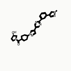 Cn1cc(-c2cccc(-c3ncc(-c4cnn(C5CCC(C(=O)N6CC[C@@H](O)C6)CC5)c4)cn3)c2)cn1